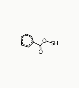 O=C(OS)c1ccccc1